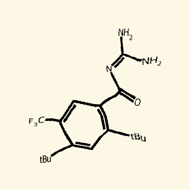 CC(C)(C)c1cc(C(C)(C)C)c(C(F)(F)F)cc1C(=O)N=C(N)N